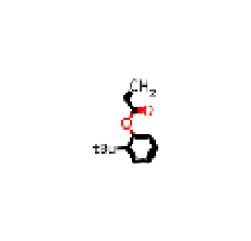 C=CC(=O)Oc1ccccc1C(C)(C)C